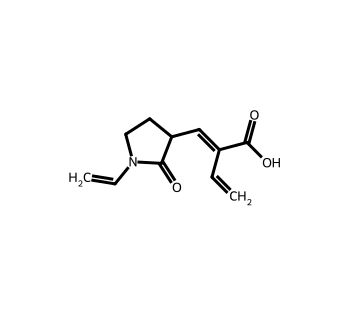 C=CC(=CC1CCN(C=C)C1=O)C(=O)O